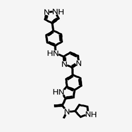 C=C(c1cc2ccc(-c3nccc(Nc4ccc(-c5cn[nH]c5)cc4)n3)cc2[nH]1)N(C)C1CCNC1